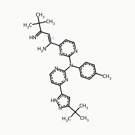 Cc1ccc(N(c2nccc(/C(N)=C/C(=N)C(C)(C)C)n2)c2nccc(-c3cc(C(C)(C)C)n[nH]3)n2)cc1